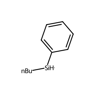 CCCC[SiH]c1ccccc1